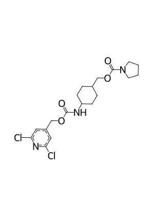 O=C(NC1CCC(COC(=O)N2CCCC2)CC1)OCc1cc(Cl)nc(Cl)c1